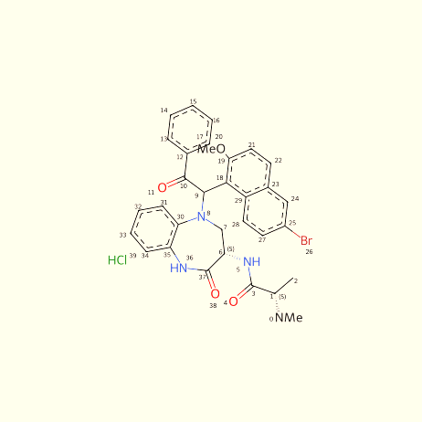 CN[C@@H](C)C(=O)N[C@H]1CN(C(C(=O)c2ccccc2)c2c(OC)ccc3cc(Br)ccc23)c2ccccc2NC1=O.Cl